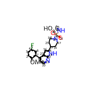 COc1ccc(F)cc1-c1ccnc2[nH]c(C3CCN(S(=O)(=O)NC(=O)O)CC3)cc12